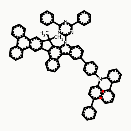 CC1(C)c2cc3c4ccccc4c4ccccc4c3cc2-c2c1c1c(c3ccccc23)c2cc(-c3ccc(N(c4ccc(-c5ccccc5)cc4)c4ccccc4-c4ccccc4)cc3)ccc2n1-c1nc(-c2ccccc2)nc(-c2ccccc2)n1